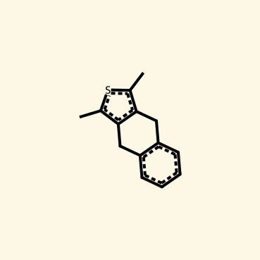 Cc1sc(C)c2c1Cc1ccccc1C2